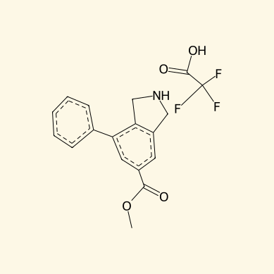 COC(=O)c1cc2c(c(-c3ccccc3)c1)CNC2.O=C(O)C(F)(F)F